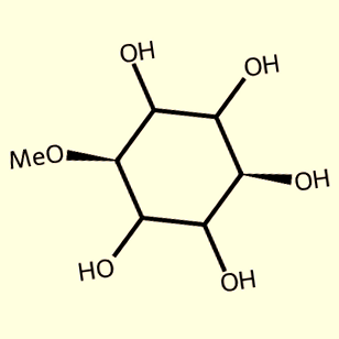 CO[C@H]1C(O)C(O)[C@@H](O)C(O)C1O